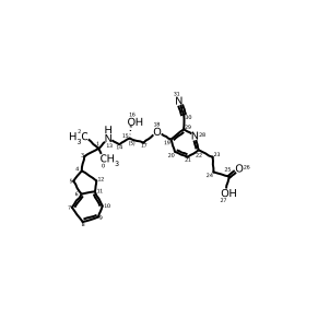 CC(C)(CC1Cc2ccccc2C1)NC[C@H](O)COc1ccc(CCC(=O)O)nc1C#N